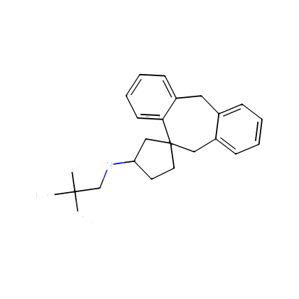 CC(C)(CNC1CCC2(Cc3ccccc3Cc3ccccc32)C1)C(=O)O